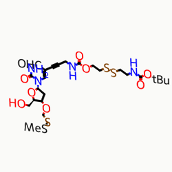 CSSCOC1C[C@H](N(/C=C(/C#CCNC(=O)OCCSSCCNC(=O)OC(C)(C)C)C=O)C(N)=O)O[C@@H]1CO